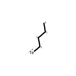 CCCC[Te]